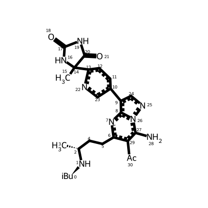 CC[C@H](C)N[C@H](C)CCc1nc2c(-c3ccc(C4(C)NC(=O)NC4=O)nc3)cnn2c(N)c1C(C)=O